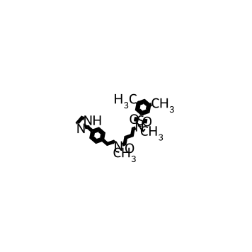 Cc1cc(C)cc(S(=O)(=O)N(C)CCCC(=O)N(C)CCc2ccc(C3=NCCN3)cc2)c1